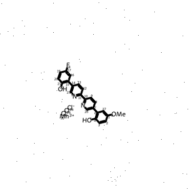 COc1ccc(O)c(-c2ccc(-c3ccc(-c4cc(F)ccc4O)cn3)nc2)c1.[Cl-].[Cl-].[Cl-].[Mn+3]